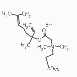 C=CC(C)(CCC=C(C)C)OC(=O)C[N+](C)(C)CCCCCCCCCCCC.[Br-]